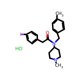 Cc1ccc(CN(C(=O)Cc2ccc(I)cc2)C2CCN(C)CC2)cc1.Cl